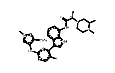 COc1nn(C)cc1Nc1ncc(F)c(-c2c[nH]c3c(NC(=O)[C@@H](C)N4CCN(C)C(C)C4)cccc23)n1